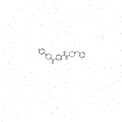 O=C(NC1CCN(Cc2ccccc2)CC1)c1ccc(C(=O)N2CCN(c3ccncc3)CC2)cn1